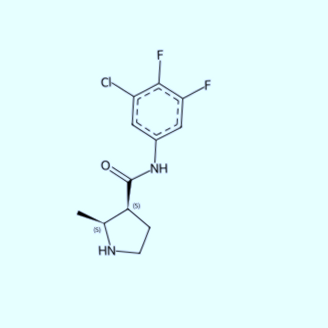 C[C@@H]1NCC[C@@H]1C(=O)Nc1cc(F)c(F)c(Cl)c1